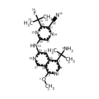 COc1ncc(C(C)(C)N)c2cc(Nc3cnc(C#N)c(C(C)(C)F)n3)ncc12